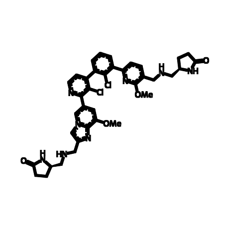 COc1nc(-c2cccc(-c3ccnc(-c4cc(OC)c5nc(CNC[C@H]6CCC(=O)N6)cn5c4)c3Cl)c2Cl)ccc1CNC[C@H]1CCC(=O)N1